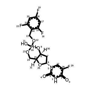 O=c1[nH]c(=O)n([C@H]2C[C@@H]3O[PH](O)(OCc4c(F)cc(F)cc4F)OC[C@H]3O2)cc1F